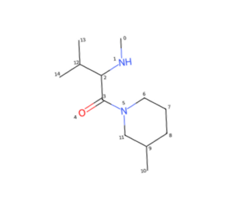 CNC(C(=O)N1CCCC(C)C1)C(C)C